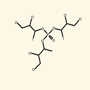 O=P(OC(I)C(Cl)CCl)(OC(I)C(Cl)CCl)OC(I)C(Cl)CCl